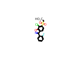 O=C(O)CS(=O)(=O)c1ccc2c(-c3ccccc3F)noc2c1Cl